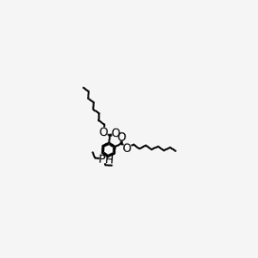 CCCCCCCCOC(=O)c1ccccc1C(=O)OCCCCCCCC.CCPCC